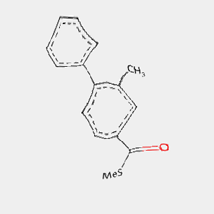 CSC(=O)c1ccc(-c2ccccc2)c(C)c1